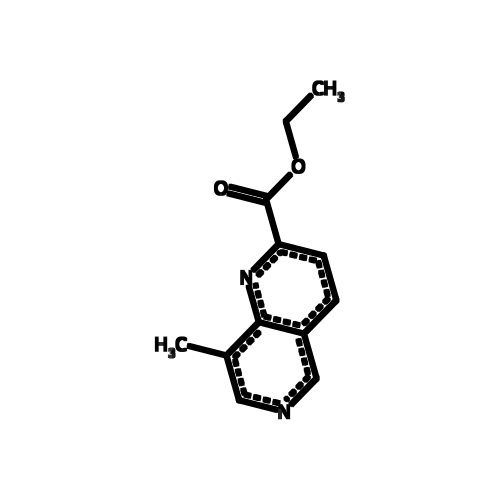 CCOC(=O)c1ccc2cncc(C)c2n1